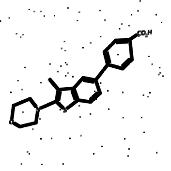 Cc1c(N2CCOCC2)sc2ccc(-c3ccc(C(=O)O)cc3)cc12